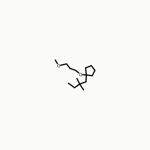 CCC(C)(C)CC1(OCCCOC)CCCC1